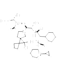 CCC[C@@H](NC(=O)[C@@H]1CC2(CN1C(=O)[C@H](NC(=O)[C@@H](NC(=O)[C@H]1CCCCN1C1CC1)C1CCCCC1)C(C)(C)C)C(C)(C)C21CCC1)C(=O)O